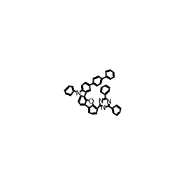 c1ccc(-c2ccc(-c3ccc4c(c3)c3c5oc6c(-c7nc(-c8ccccc8)nc(-c8ccccc8)n7)cccc6c5ccc3n4-c3ccccc3)cc2)cc1